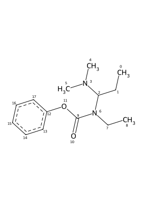 CCC(N(C)C)N(CC)C(=O)Oc1ccccc1